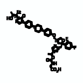 CC[C@@H]([C@H](C)O)n1ncn(-c2ccc(N3CCN(c4ccc(OC[C@@H]5CO[C@@](Cn6c[n+](C(C)OC(=O)NCC(=O)O)cn6)(c6ccc(F)cc6F)C5)cc4)CC3)cc2)c1=O